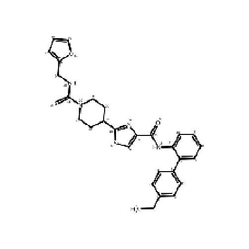 CCc1ccc(-c2ccccc2NC(=O)c2csc(C3CCN(C(=S)NCc4ccco4)CC3)n2)cc1